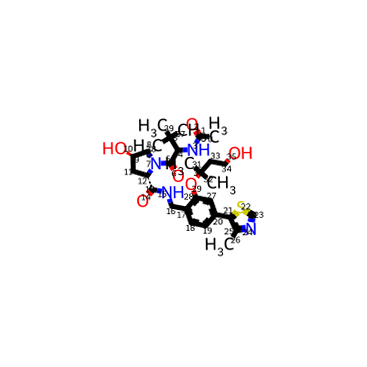 CC(=O)NC(C(=O)N1C[C@H](O)C[C@H]1C(=O)NCc1ccc(-c2scnc2C)cc1OC(C)(C)CCO)C(C)(C)C